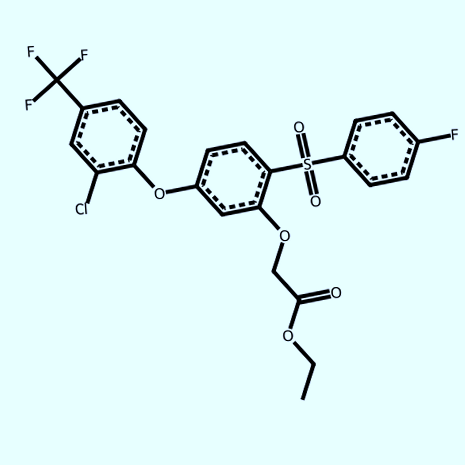 CCOC(=O)COc1cc(Oc2ccc(C(F)(F)F)cc2Cl)ccc1S(=O)(=O)c1ccc(F)cc1